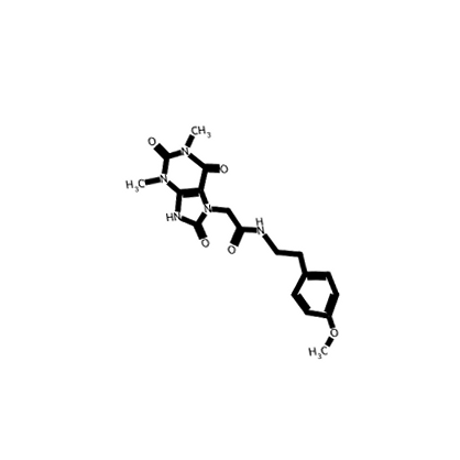 COc1ccc(CCNC(=O)Cn2c(=O)[nH]c3c2c(=O)n(C)c(=O)n3C)cc1